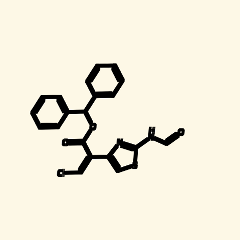 O=CNc1nc(/C(=C/Cl)C(=O)OC(c2ccccc2)c2ccccc2)cs1